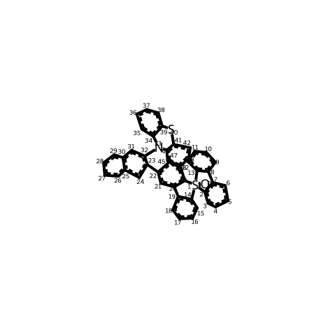 O=S12(c3ccccc3-c3ccccc31)c1ccccc1-c1cc(-c3cc4ccccc4cc3N3c4ccccc4Sc4ccccc43)ccc12